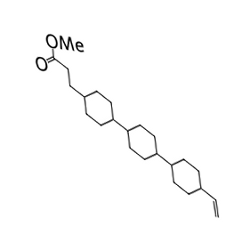 C=CC1CCC(C2CCC(C3CCC(CCC(=O)OC)CC3)CC2)CC1